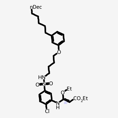 CCCCCCCCCCCCCCCc1cccc(OCCCCNS(=O)(=O)c2ccc(Cl)c(N/C(=C/C(=O)OCC)OCC)c2)c1